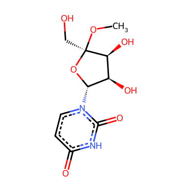 CO[C@]1(CO)O[C@@H](n2ccc(=O)[nH]c2=O)[C@H](O)[C@@H]1O